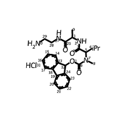 CC(NC(=O)C(C(C)C)N(C)C(=O)OC1c2ccccc2-c2ccccc21)C(=O)NCCN.Cl